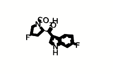 O=C(c1c[nH]c2cc(F)ccc12)[C@@H]1C[C@H](F)CN1C(=O)O